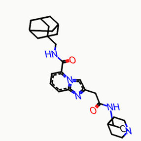 O=C(Cc1cn2c(C(=O)NCC34CC5CC(CC(C5)C3)C4)cccc2n1)NC1CN2CCC1CC2